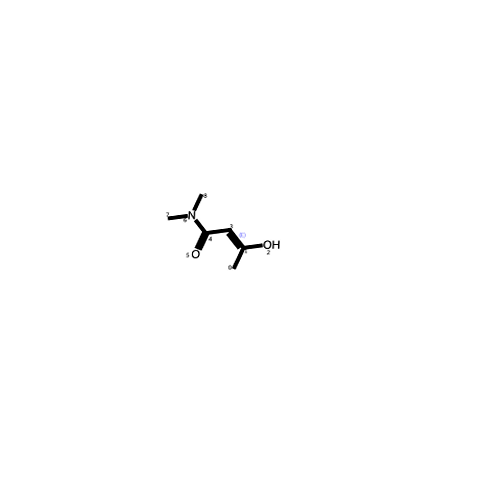 C/C(O)=C\C(=O)N(C)C